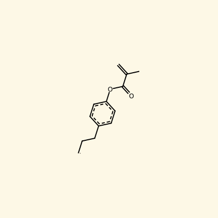 [CH2]CCc1ccc(OC(=O)C(=C)C)cc1